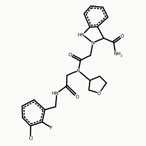 NC(=O)C1c2ccccc2NN1CC(=O)N(CC(=O)NCc1cccc(Cl)c1F)C1CCOC1